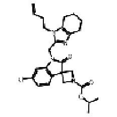 C=CCCn1c(CN2C(=O)C3(CN(C(=O)OC(C)C)C3)c3ccc(Cl)cc32)nc2c1CCCC2